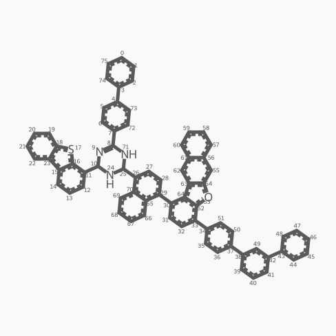 c1ccc(-c2ccc(C3=NC(c4cccc5c4sc4ccccc45)NC(c4ccc(-c5ccc(-c6ccc(-c7cccc(-c8ccccc8)c7)cc6)c6oc7cc8ccccc8cc7c56)c5ccccc45)N3)cc2)cc1